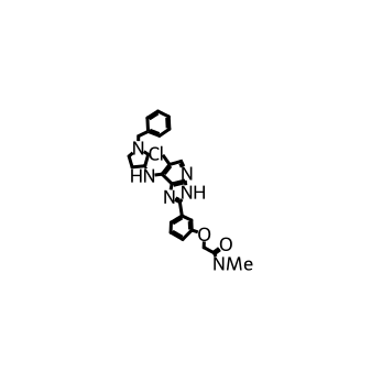 CNC(=O)COc1cccc(-c2nc3c(N[C@H]4CCN(Cc5ccccc5)C4)c(Cl)cnc3[nH]2)c1